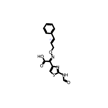 O=CNc1nc(C(=NOC/C=C/c2ccccc2)C(=O)O)cs1